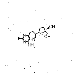 C#C[C@@]1(CO)CC[C@H](C2C=Nc3c(N)nc(F)nc3CC2)O1